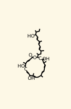 CCC(C)C(O)/C=C/C(C)=C/C=C/C(C)CC(C)C1CC(O)C(C)/C=C/C=C/C(C)C/C=C(\C)C(O)/C=C/CC(O)C(C)/C=C/C(=O)O1